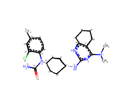 CN(C)c1nc(N[C@H]2CC[C@@H](N(C(N)=O)c3ccc(C(F)(F)F)cc3Cl)CC2)nc2c1CCCC2